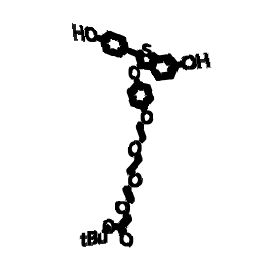 CC(C)(C)OC(=O)COCCOCCOCCOc1ccc(Oc2c(-c3ccc(O)cc3)sc3cc(O)ccc23)cc1